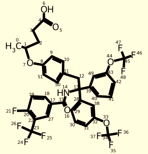 CC(CCC(=O)O)Oc1ccc(CC(NC(=O)c2ccc(F)c(C(F)(F)F)c2)(c2cccc(OC(F)(F)F)c2)c2cccc(OC(F)(F)F)c2)cc1